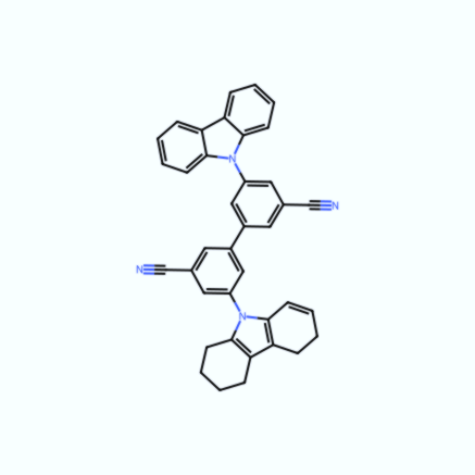 N#Cc1cc(-c2cc(C#N)cc(-n3c4ccccc4c4ccccc43)c2)cc(-n2c3c(c4c2CCCC4)CCC=C3)c1